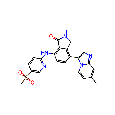 Cc1ccn2c(-c3ccc(Nc4ccc(S(C)(=O)=O)cn4)c4c3CNC4=O)cnc2c1